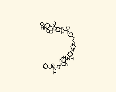 O=C1CC[C@H](N2C(=O)c3ccc(NCC(=O)N4CCC(CCCN5CCN(c6ccc(Nc7ncnc8c7ncn8C7CC(NC(=O)Cc8ccccc8)C7)cc6)CC5)CC4)cc3C2=O)C(=O)N1